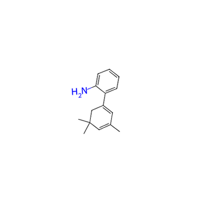 CC1=CC(C)(C)CC(c2ccccc2N)=C1